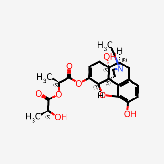 C[C@H](O)C(=O)O[C@@H](C)C(=O)OC1=CC[C@@]2(O)[C@H]3Cc4ccc(O)c5c4[C@@]2(CCN3C)[C@H]1O5